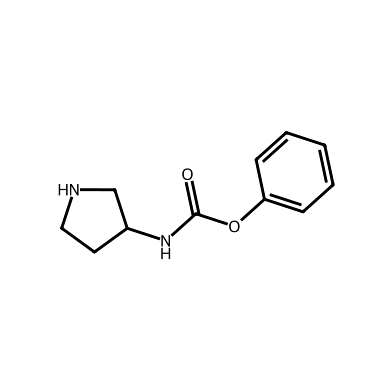 O=C(NC1CCNC1)Oc1ccccc1